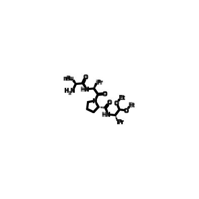 CCCC[C@H](N)C(=O)N[C@H](C(=O)N1CCC[C@H]1C(=O)N[C@@H](C(C)C)C(OCC)OCC)C(C)C